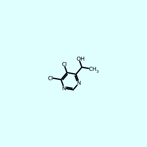 CC(O)c1ncnc(Cl)c1Cl